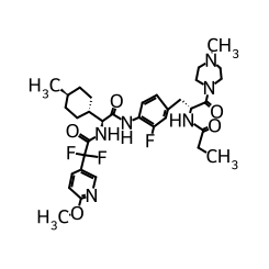 CCC(=O)N[C@H](Cc1ccc(NC(=O)[C@@H](NC(=O)C(F)(F)c2ccc(OC)nc2)[C@H]2CC[C@H](C)CC2)c(F)c1)C(=O)N1CCN(C)CC1